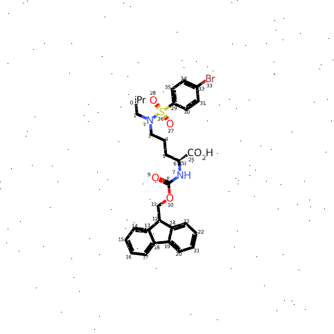 CC(C)CN(CCC[C@H](NC(=O)OCC1c2ccccc2-c2ccccc21)C(=O)O)S(=O)(=O)c1ccc(Br)cc1